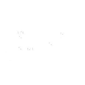 c1cc(-c2ccoc2)c2nc(-c3n[nH]c4ccc(-c5cncc(CNCC6CCCC6)c5)cc34)[nH]c2c1